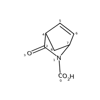 O=C(O)N1C(=O)C2C=CC1C2